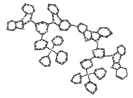 C1=Cc2nc3n(-c4cc(-n5c6ccccc6n6c7ccc(-c8ccc9c(c8)c8ccccc8n9-c8cc(-n9c%10ccccc%10n%10c%11ccccc%11nc9%10)nc(-c9cccc([Si](c%10ccccc%10)(c%10ccccc%10)c%10ccccc%10)c9)n8)cc7nc56)nc(-c5cccc([Si](c6ccccc6)(c6ccccc6)c6ccccc6)c5)n4)c4ccccc4n3c2CC1